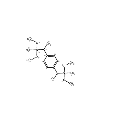 CO[Si](C)(OC)C(C)c1ccc(C(C)[Si](C)(OC)OC)cc1